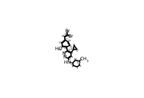 CN1CCC[C@@H](Nc2cc(C3CC3)c(-c3ccc(C=C(Br)Br)cc3O)nn2)C1